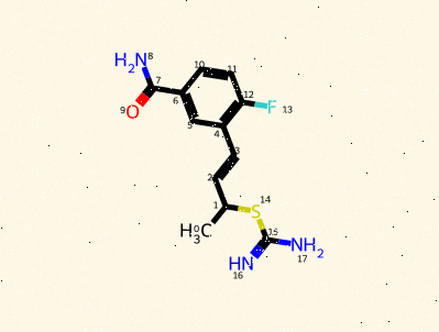 CC(C=Cc1cc(C(N)=O)ccc1F)SC(=N)N